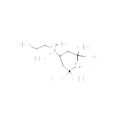 CC1(C)CC([N+](C)(C)CCO)CC(C)(C)N1O